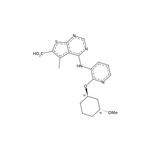 CO[C@@H]1CCC[C@@H](Oc2ncccc2Nc2ncnc3sc(C(=O)O)c(C)c23)C1